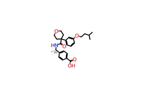 CC(C)CCOc1cccc(C2(C(=O)N[C@@H](C)c3ccc(C(=O)O)cc3)CCOCC2)c1